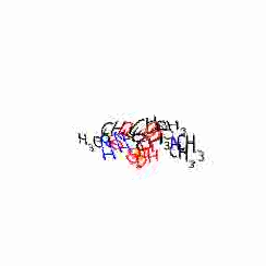 Cc1cc(C)c(CNC(=O)c2cc(C)c3c(c2C)O[C@@](C)([C@H]2CC[C@H](N(C)C)CC2)O3)c(=O)[nH]1.O=S(=O)(O)O